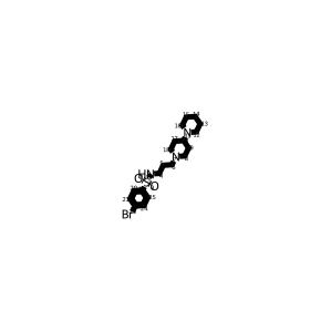 O=S(=O)(NCCCN1CCC(N2CCCCC2)CC1)c1ccc(Br)cc1